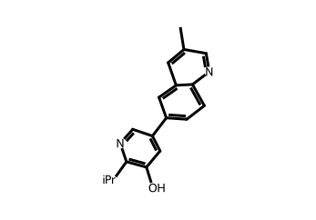 Cc1cnc2ccc(-c3cnc(C(C)C)c(O)c3)cc2c1